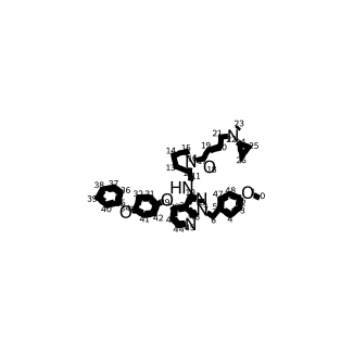 COc1ccc(Cn2nc(NCC3CCCN3C(=O)/C=C/CN(C)C3CC3)c3c(Oc4ccc(Oc5ccccc5)cc4)ccnc32)cc1